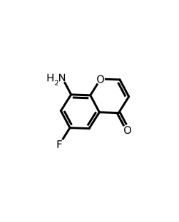 Nc1cc(F)cc2c(=O)ccoc12